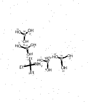 CCC(N)(CC)CC.OB(O)O.OB(O)O.OB(O)O.OB(O)O